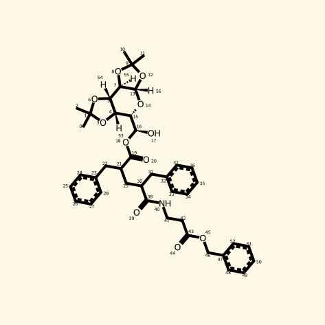 CC1(C)O[C@@H]2[C@H](O1)[C@H]1OC(C)(C)O[C@@H]1O[C@@H]2[C@@H](O)OC(=O)C(Cc1ccccc1)CC(Cc1ccccc1)C(=O)NCCC(=O)OCc1ccccc1